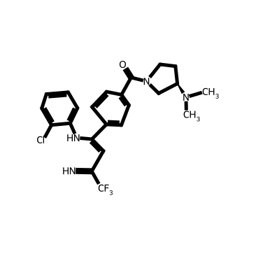 CN(C)[C@@H]1CCN(C(=O)c2ccc(/C(=C/C(=N)C(F)(F)F)Nc3ccccc3Cl)cc2)C1